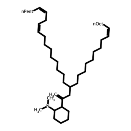 C=C(CC(CCCCCCCC/C=C\C/C=C\CCCCC)CCCCCCCC/C=C\CCCCCCCC)C1CCCCC1N(C)C